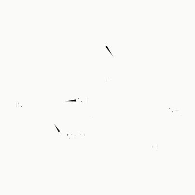 CC#C[C@H](C)Oc1cc(N)c(Cl)cc1C(=O)N[C@@H]1CCNC[C@@H]1OC